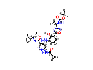 BC(B)(B)NC(=O)c1cnc(NC(=O)C2CC2)cc1Nc1cccc(-c2nc(C3(NC(=O)OC(C)(C)C)CC3)no2)c1OC